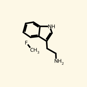 CF.NCCc1c[nH]c2ccccc12